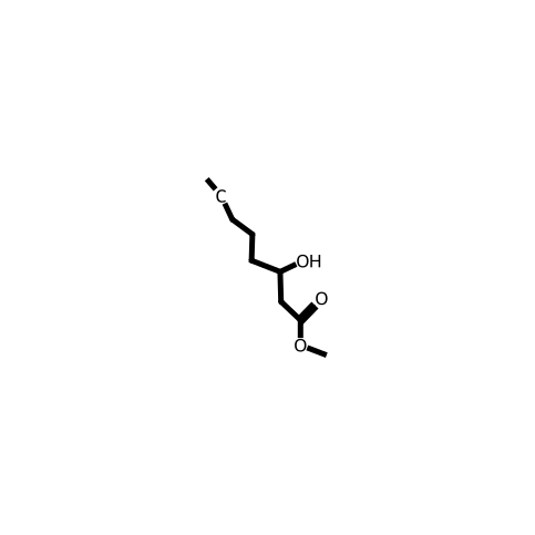 CCCCCC(O)CC(=O)OC